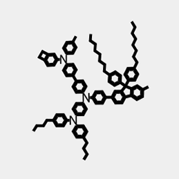 CCCCCCCCc1ccc(C2(c3ccc(CCCCCCCC)cc3)c3cc(C)ccc3-c3ccc(-c4ccc(N(c5ccc(-c6ccc(N(c7ccc(C)cc7)c7ccc8c(c7)CC8)cc6)cc5)c5ccc(N(c6ccc(CCCC)cc6)c6ccc(CCCC)cc6)cc5)cc4)cc32)cc1